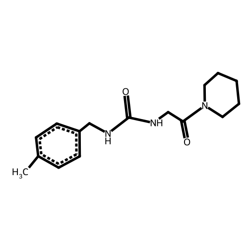 Cc1ccc(CNC(=O)NCC(=O)N2CCCCC2)cc1